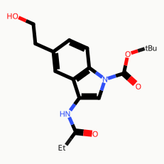 CCC(=O)Nc1cn(C(=O)OC(C)(C)C)c2ccc(CCO)cc12